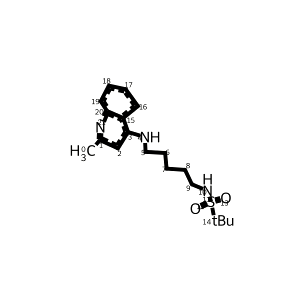 Cc1cc(NCCCCCNS(=O)(=O)C(C)(C)C)c2ccccc2n1